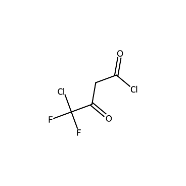 O=C(Cl)CC(=O)C(F)(F)Cl